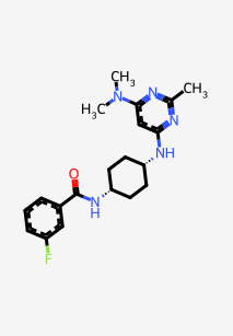 Cc1nc(N[C@H]2CC[C@@H](NC(=O)c3cccc(F)c3)CC2)cc(N(C)C)n1